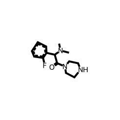 CN(C)C(C(=O)N1CCNCC1)c1ccccc1F